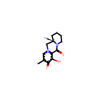 Cc1cn2c(c(O)c1=O)C(=O)N1CCCC[C@H]1C2